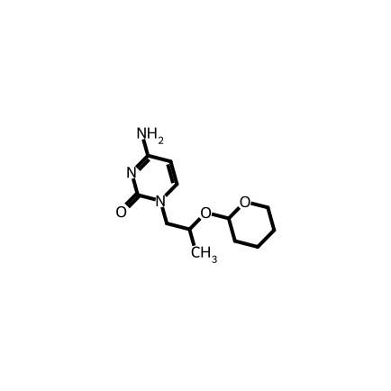 CC(Cn1ccc(N)nc1=O)OC1CCCCO1